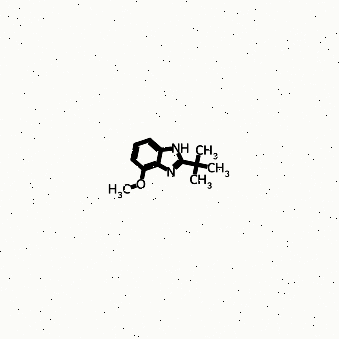 COc1cccc2[nH]c(C(C)(C)C)nc12